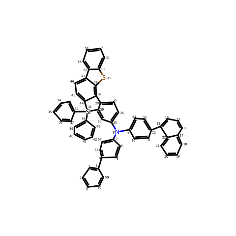 c1ccc(-c2ccc(N(c3ccc(-c4cccc5ccccc45)cc3)c3ccc4c(c3)[Si](c3ccccc3)(c3ccccc3)c3ccc5c(sc6ccccc65)c3-4)cc2)cc1